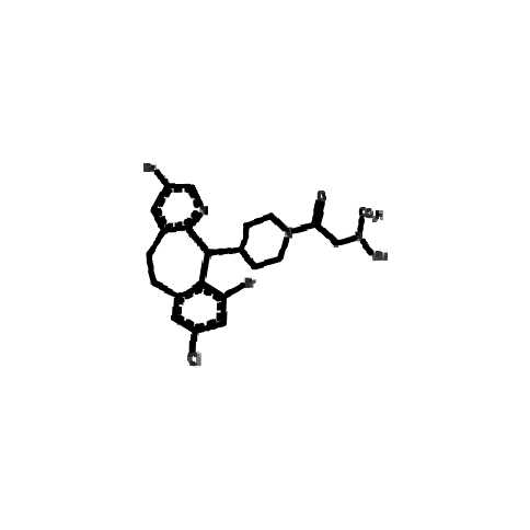 CC(C)(C)N(CC(=O)N1CCC(C2c3ncc(Br)cc3CCc3cc(Cl)cc(Br)c32)CC1)C(=O)O